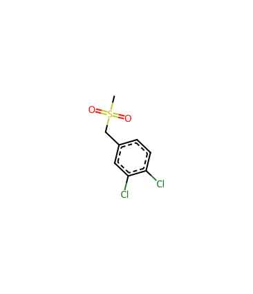 CS(=O)(=O)Cc1ccc(Cl)c(Cl)c1